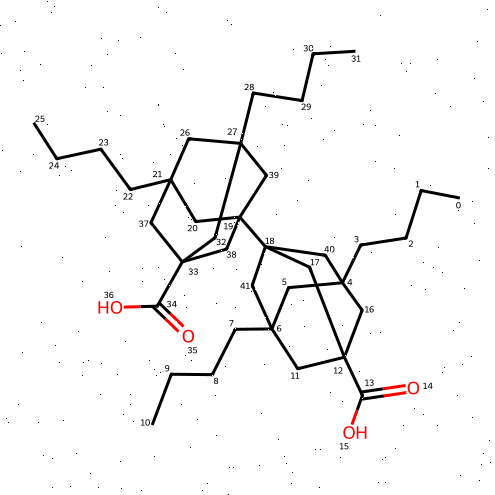 CCCCC12CC3(CCCC)CC(C(=O)O)(C1)CC(C14CC5(CCCC)CC(CCCC)(CC(C(=O)O)(C5)C1)C4)(C2)C3